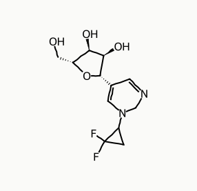 OC[C@H]1O[C@@H](C2=CN(C3CC3(F)F)CN=C2)[C@H](O)[C@@H]1O